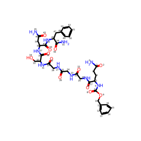 NC(=O)CCC(NC(=O)OCc1ccccc1)C(=O)NCC(=O)NCC(=O)NCC(=O)NC(CO)C(=O)NC(CC(N)=O)C(=O)NC(Cc1ccccc1)C(N)=O